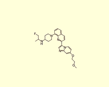 COCCOc1ccn2c(-c3ccc4cccc(N5CCC(NC(C)CF)CC5)c4n3)cnc2c1